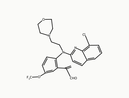 C=C(C=O)c1cc(OC(F)(F)F)ccc1N(CCN1CCOCC1)c1ccc2cccc(Cl)c2n1